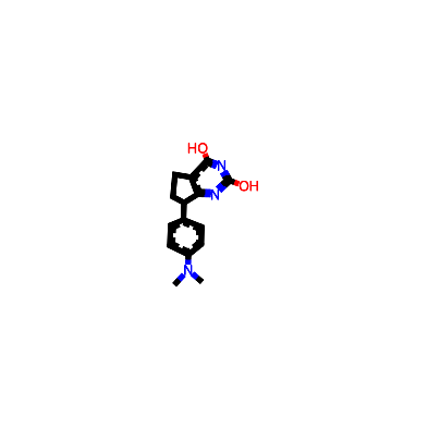 CN(C)c1ccc(C2CCc3c(O)nc(O)nc32)cc1